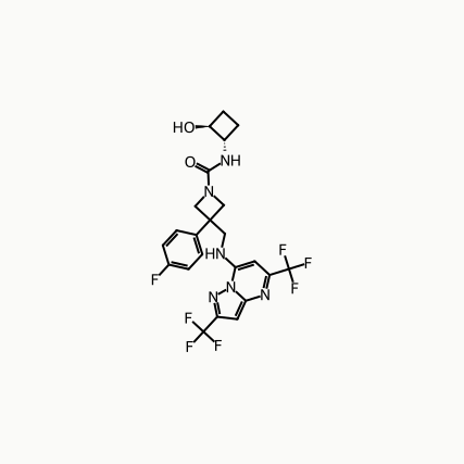 O=C(N[C@H]1CC[C@@H]1O)N1CC(CNc2cc(C(F)(F)F)nc3cc(C(F)(F)F)nn23)(c2ccc(F)cc2)C1